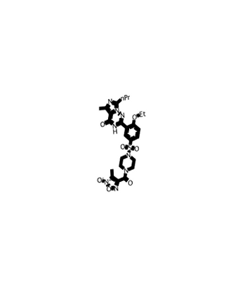 CCCc1nc(C)c2c(=O)[nH]c(-c3cc(S(=O)(=O)N4CCN(C(=O)c5no[n+]([O-])c5C)CC4)ccc3OCC)nn12